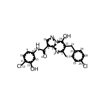 Cc1nc2c(C(=O)Nc3ccc(Cl)c(O)c3)cnn2c(O)c1Cc1ccc(Cl)cc1